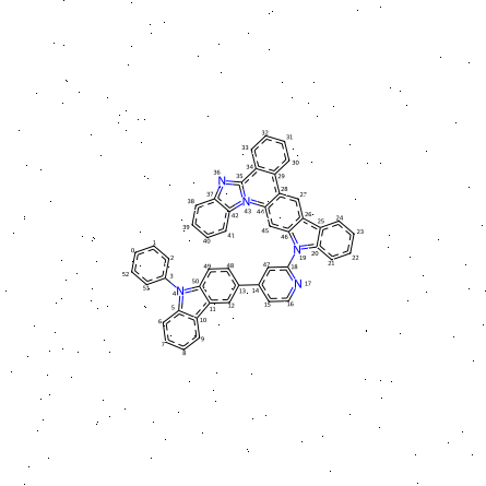 c1ccc(-n2c3ccccc3c3cc(-c4ccnc(-n5c6ccccc6c6cc7c8ccccc8c8nc9ccccc9n8c7cc65)c4)ccc32)cc1